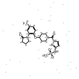 CS(=O)(=O)Nc1ccn(C(=O)N2CCC(Oc3ccc(C(F)(F)F)cc3N3CCCC3=O)CC2)n1